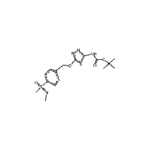 CN=S(C)(=O)c1ccc(COc2nnc(NC(=O)OC(C)(C)C)s2)nc1